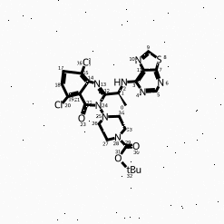 C[C@H](Nc1ncnc2scnc12)c1nc2c(Cl)ccc(Cl)c2c(=O)n1N1CCN(C(=O)OC(C)(C)C)CC1